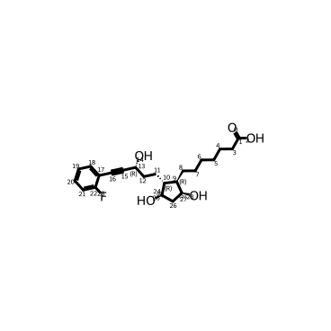 O=C(O)CCCCCC[C@@H]1[C@@H](CC[C@@H](O)C#Cc2ccccc2F)[C@H](O)C[C@@H]1O